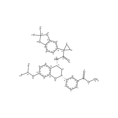 COC(=O)c1cccc([C@H]2C[C@@H](NC(=O)C3(c4ccc5c(c4)OC(F)(F)O5)CC3)c3ccc(OC(F)F)cc3O2)c1